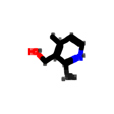 Cc1ccnc(C(C)(C)C)c1CO